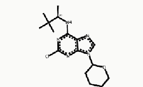 C[C@@H](Nc1nc(Cl)nc2c1ncn2C1CCCCO1)C(C)(C)C